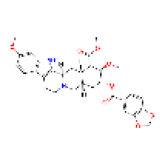 COC(=O)[C@H]1[C@H]2C[C@@H]3c4[nH]c5cc(OC)ccc5c4CCN3C[C@H]2C[C@@H](OC(=O)c2ccc3c(c2)OCO3)[C@@H]1OC